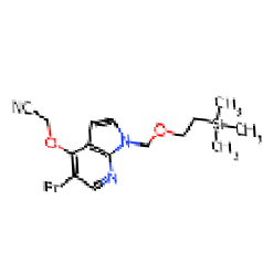 CC(C)c1cnc2c(ccn2COCC[Si](C)(C)C)c1OCC#N